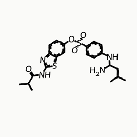 CC(C)CC(N)Nc1ccc(S(=O)(=O)Oc2ccc3nc(NC(=O)C(C)C)sc3c2)cc1